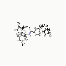 C=C(/C=C/c1ccc(-n2cnc(C)c2)c(OC)c1)OC1(c2ccc(F)cc2)CCC(=O)N1N